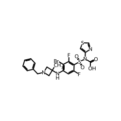 CC1(Nc2cc(F)c(S(=O)(=O)N(C(=O)O)c3cscn3)c(F)c2Br)CN(Cc2ccccc2)C1